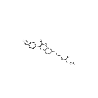 CCC(=O)OCCCc1ccc2cc(-c3ccc(OC)cc3)c(=O)oc2c1